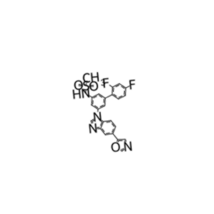 CS(=O)(=O)Nc1cc(-c2ccc(F)cc2F)cc(-n2cnc3cc(-c4cnco4)ccc32)c1